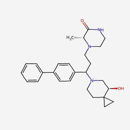 C[C@@H]1C(=O)NCCN1CCC(c1ccc(-c2ccccc2)cc1)N1CCC2(CC2)[C@H](O)C1